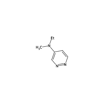 [CH2]CN(C)c1ccnnc1